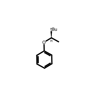 C[C@@H](Oc1ccccc1)C(C)(C)C